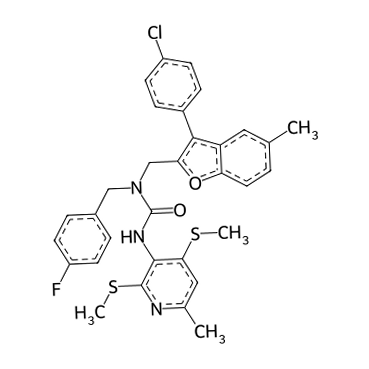 CSc1cc(C)nc(SC)c1NC(=O)N(Cc1ccc(F)cc1)Cc1oc2ccc(C)cc2c1-c1ccc(Cl)cc1